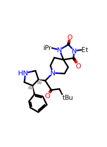 CCN1C(=O)N(C(C)C)C2(CCN(C(C(=O)CC(C)(C)C)[C@@H]3CNC[C@@H]3c3ccccc3)CC2)C1=O